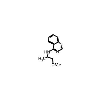 COCC(C)Nc1ncnc2ccccc12